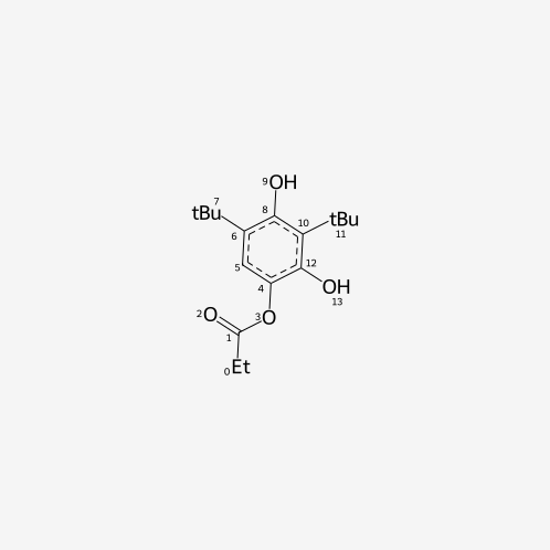 CCC(=O)Oc1cc(C(C)(C)C)c(O)c(C(C)(C)C)c1O